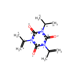 C=C(C)n1c(=O)n(C(=C)C)c(=O)n(C(C)C)c1=O